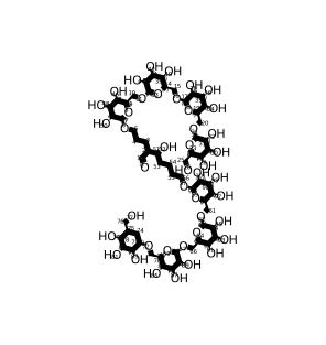 O=CC(CCCO[C@@H]1O[C@H](CO[C@@H]2O[C@H](CO[C@@H]3O[C@H](CO[C@@H]4O[C@H](CO)[C@@H](O)[C@H](O)[C@H]4O)[C@@H](O)[C@H](O)[C@H]3O)[C@@H](O)[C@H](O)[C@H]2O)[C@@H](O)[C@H](O)[C@H]1O)C(O)CCCCO[C@@H]1O[C@H](CO[C@@H]2O[C@H](CO[C@@H]3O[C@H](CO[C@@H]4C[C@H](CO)[C@@H](O)[C@H](O)[C@H]4O)[C@@H](O)[C@H](O)[C@H]3O)[C@@H](O)[C@H](O)[C@H]2O)[C@@H](O)[C@H](O)[C@H]1O